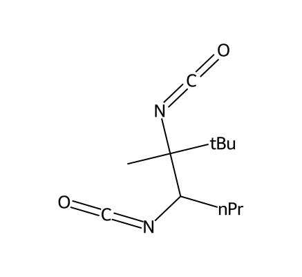 CCCC(N=C=O)C(C)(N=C=O)C(C)(C)C